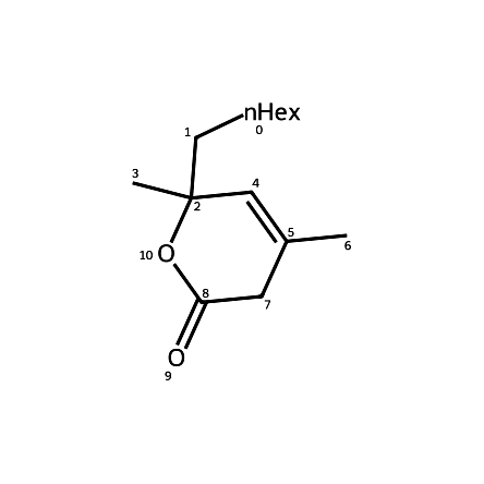 CCCCCCCC1(C)C=C(C)CC(=O)O1